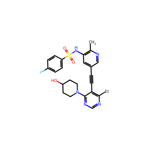 CCc1ncnc(N2CCC(O)CC2)c1C#Cc1cnc(C)c(NS(=O)(=O)c2ccc(F)cc2)c1